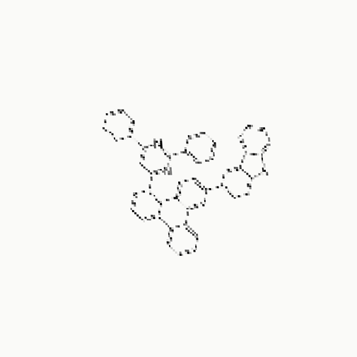 c1ccc(-c2cc(-c3cccc4c5ccccc5c5cc(-c6ccc7sc8ccccc8c7c6)ccc5c34)nc(-c3ccccc3)n2)cc1